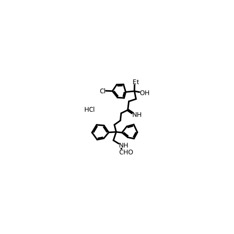 CCC(O)(CCC(=N)CCCC(CNC=O)(c1ccccc1)c1ccccc1)c1ccc(Cl)cc1.Cl